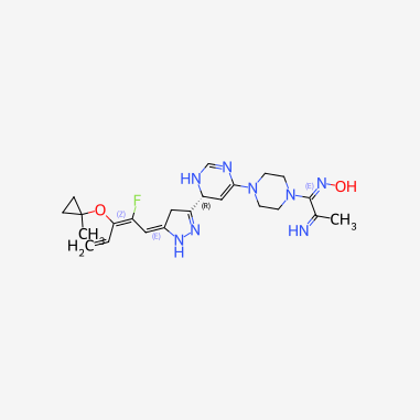 C=C/C(OC1(C)CC1)=C(F)\C=C1/CC([C@H]2C=C(N3CCN(/C(=N/O)C(C)=N)CC3)N=CN2)=NN1